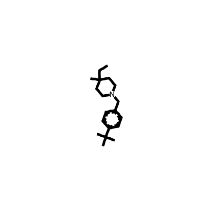 CCC1(C)CCN(Cc2ccc(C(C)(C)C)cc2)CC1